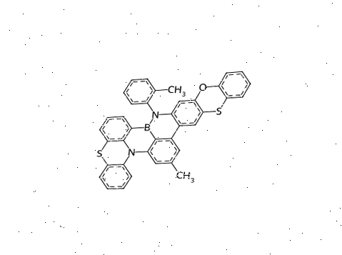 Cc1cc2c3c(c1)N1c4ccccc4Sc4cccc(c41)B3N(c1ccccc1C)c1cc3c(cc1-2)Sc1ccccc1O3